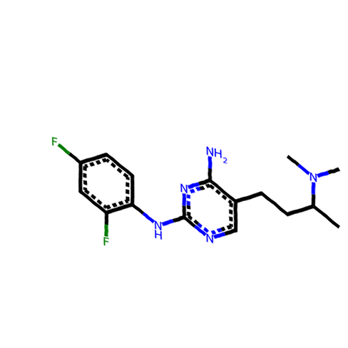 CC(CCc1cnc(Nc2ccc(F)cc2F)nc1N)N(C)C